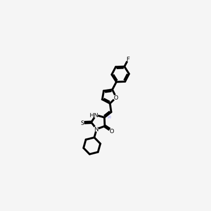 O=C1/C(=C/c2ccc(-c3ccc(F)cc3)o2)NC(=S)N1C1CCCCC1